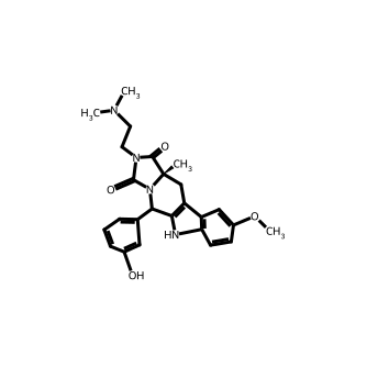 COc1ccc2[nH]c3c(c2c1)C[C@@]1(C)C(=O)N(CCN(C)C)C(=O)N1C3c1cccc(O)c1